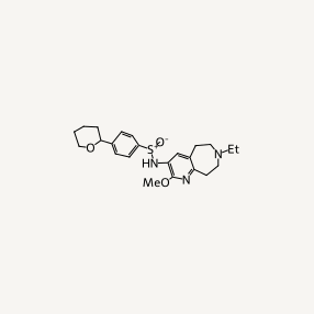 CCN1CCc2cc(N[S+]([O-])c3ccc(C4CCCCO4)cc3)c(OC)nc2CC1